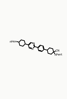 CCCCCCC1CCC(c2cnc(-c3ccc(C4CCC(C#N)(CCCCC)CC4)cc3)nc2)CC1